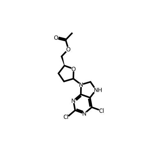 CC(=O)OC[C@@H]1CCC(N2CNc3c(Cl)nc(Cl)nc32)O1